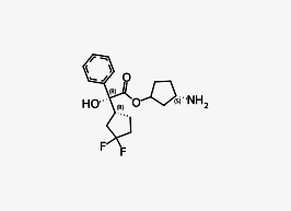 N[C@H]1CCC(OC(=O)[C@](O)(c2ccccc2)[C@@H]2CCC(F)(F)C2)C1